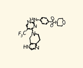 O=S(=O)(c1ccc(Nc2ncc(C(F)(F)F)c(N3CCc4nc[nH]c4C3)n2)cc1)N1CCOCC1